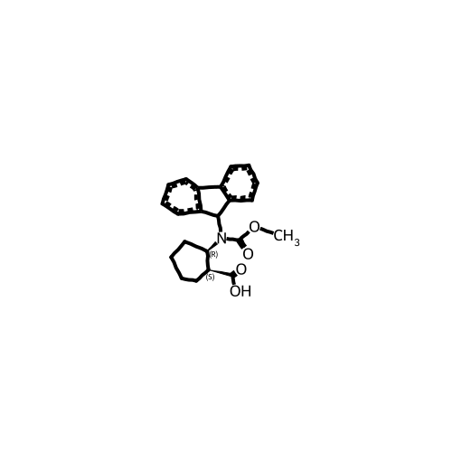 COC(=O)N(C1c2ccccc2-c2ccccc21)[C@@H]1CCCC[C@@H]1C(=O)O